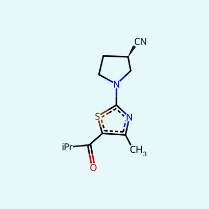 Cc1nc(N2CC[C@@H](C#N)C2)sc1C(=O)C(C)C